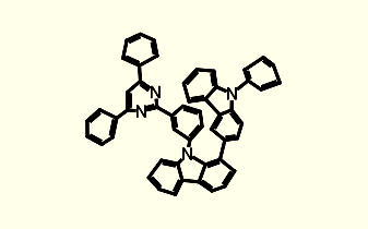 c1ccc(-c2cc(-c3ccccc3)nc(-c3cccc(-n4c5ccccc5c5cccc(-c6ccc7c(c6)c6ccccc6n7-c6ccccc6)c54)c3)n2)cc1